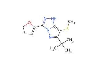 CSc1c(C(C)(C)C)nn2c(C3=CCCO3)n[nH]c12